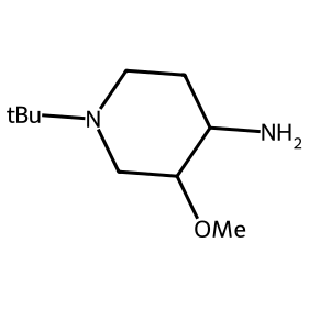 COC1CN(C(C)(C)C)CCC1N